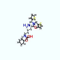 N[C@@H](CCCCN(Cc1ccccc1)C(=O)O)C(=O)N(Cc1cccs1)Cc1cccs1